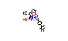 Cc1ncsc1-c1ccc([C@H](C)NC(=O)[C@@H]2C[C@@H](O)CN2C(=O)[C@@H](C(C)C)C(C)(C)C)cc1